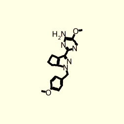 COc1ccc(Cn2nc(-c3ncc(OC)c(N)n3)c3c2CCC3)cc1